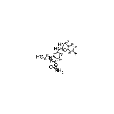 C[C@@H](NC(=O)Nc1cc2c(cn1)c(OC(N)=O)nn2CCO)c1ccc(F)cc1